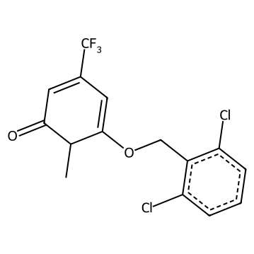 CC1C(=O)C=C(C(F)(F)F)C=C1OCc1c(Cl)cccc1Cl